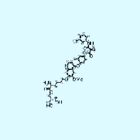 COc1cc2c(Oc3ccc(NC(=O)C4(C(=O)Nc5cccc(Cl)c5)CC4)cc3F)ccnc2cc1OCCCCC(N)C(=O)OCC(CO)CO